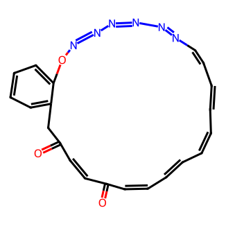 O=C1\C=C/C=C\C=C/C=C\C=C/N=N\N=N/N=N\Oc2ccccc2CC(=O)/C=C\1